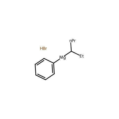 Br.CCC[CH](CC)[Mg][c]1ccccc1